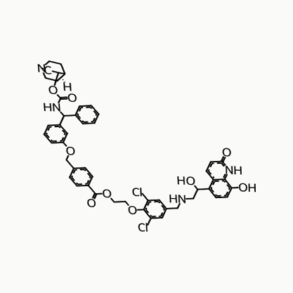 O=C(NC(c1ccccc1)c1cccc(OCc2ccc(C(=O)OCCOc3c(Cl)cc(CNCC(O)c4ccc(O)c5[nH]c(=O)ccc45)cc3Cl)cc2)c1)O[C@H]1CN2CCC1CC2